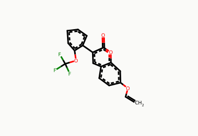 C=COc1ccc2cc(-c3ccccc3OC(F)(F)F)c(=O)oc2c1